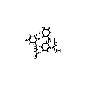 O=C(O)c1ccccc1Nc1ccccc1.O=COCc1ccccc1